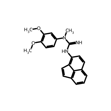 COc1ccc(N(C)C(=N)Nc2ccc3cccc4c3c2C=C4)cc1OC